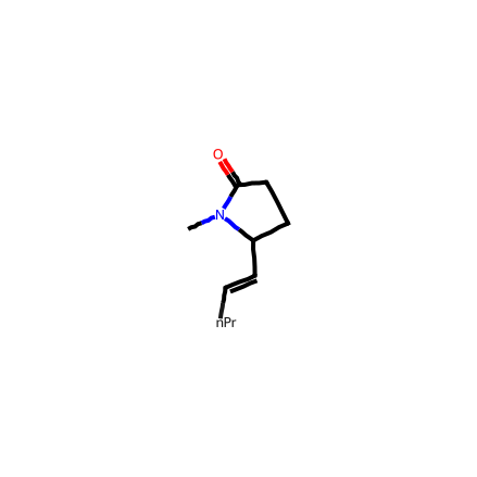 CCC/C=C/C1CCC(=O)N1C